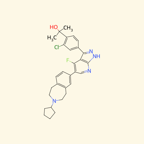 CC(C)(O)c1ccc(-c2n[nH]c3ncc(-c4ccc5c(c4)CCN(C4CCCC4)CC5)c(F)c23)cc1Cl